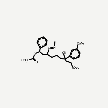 CCCCCCCCCCCCC(C#N)(CCCC(CC(OC(=O)C(=O)O)c1ccccc1)N=NC)c1cccc(OC)c1